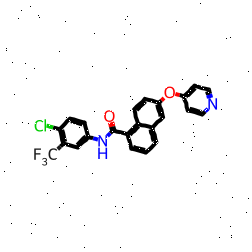 O=C(Nc1ccc(Cl)c(C(F)(F)F)c1)c1cccc2cc(Oc3ccncc3)ccc12